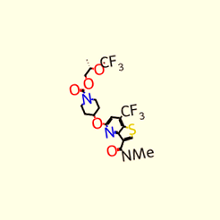 CNC(=O)c1csc2c(C(F)(F)F)cc(OC3CCN(C(=O)OC[C@H](C)OC(F)(F)F)CC3)nc12